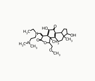 CCN(C=C1C(=O)OC(COC)C2(C)C3=C(C(=O)C(O)=C12)C1CCC(O)C1(C)CC3)CCN(C)C